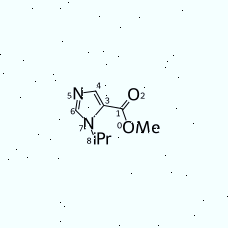 COC(=O)c1cncn1C(C)C